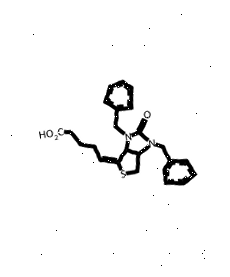 O=C(O)CCCC=C1SCC2C1N(Cc1ccccc1)C(=O)N2Cc1ccccc1